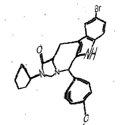 COc1ccc(C2c3[nH]c4ccc(Br)cc4c3CC3C(=O)N(C4CCCC4)CN32)cc1